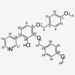 COc1ccc(COc2ccc(-c3cccnc3)c(Cl)c2OCc2ccc(OC)cc2)cc1